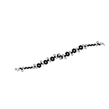 C=CC(=O)OCCCCCCOC(=O)Oc1ccc(C(=O)Oc2ccc(C(=O)Oc3ccc(C(=O)OC4COC5C4OC[C@H]5OC(=O)c4ccc(OC(=O)c5ccc(OC(=O)c6ccc(OC(=O)OCCCCCCOC(=O)C=C)cc6)cc5)cc4)cc3)cc2)cc1